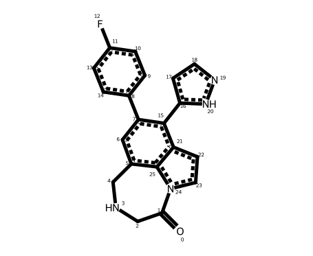 O=C1CNCc2cc(-c3ccc(F)cc3)c(-c3ccn[nH]3)c3ccn1c23